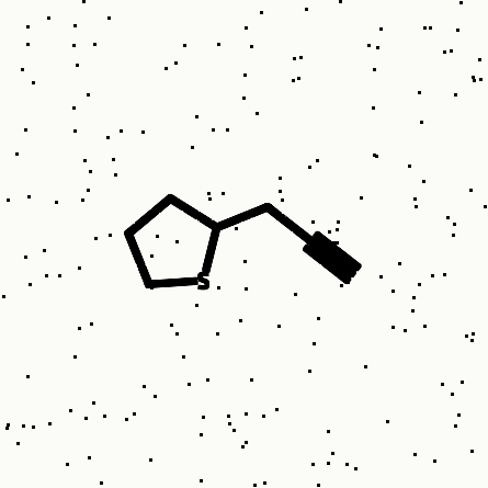 C#CCC1CCCS1